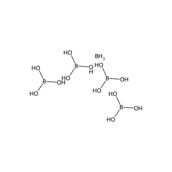 B.OB(O)O.OB(O)O.OB(O)O.OB(O)O